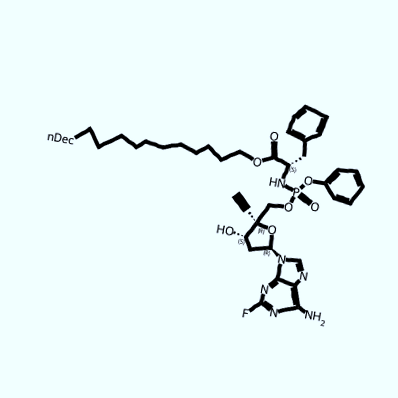 C#C[C@]1(COP(=O)(N[C@@H](Cc2ccccc2)C(=O)OCCCCCCCCCCCCCCCCCCCCC)Oc2ccccc2)O[C@@H](n2cnc3c(N)nc(F)nc32)C[C@@H]1O